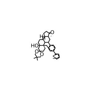 CC1(C)COC2(CC[C@@]34Cc5cc(-c6cccs6)ccc5C5C[C@]6(C)C(=O)CC[C@H]6[C@H](CC[C@@]3(O)C2)C54)OC1